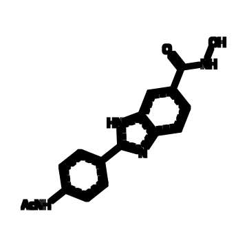 CC(=O)Nc1ccc(-c2nc3ccc(C(=O)NO)cc3[nH]2)cc1